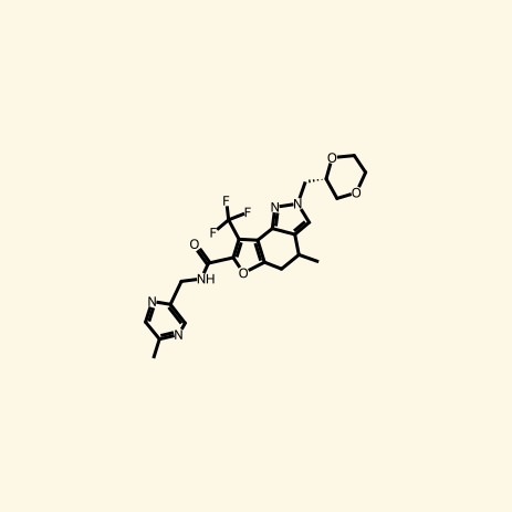 Cc1cnc(CNC(=O)c2oc3c(c2C(F)(F)F)-c2nn(C[C@H]4COCCO4)cc2C(C)C3)cn1